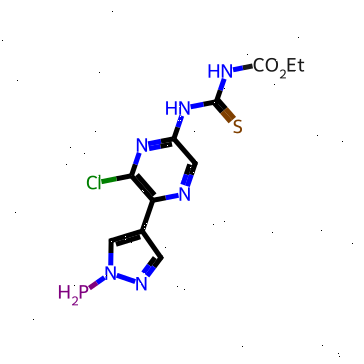 CCOC(=O)NC(=S)Nc1cnc(-c2cnn(P)c2)c(Cl)n1